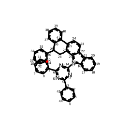 c1ccc(-c2nc(-c3ccccc3)nc(-n3c4ccccc4c4ccc5c(c43)CC(c3ccccc3)c3ccccc3-5)n2)cc1